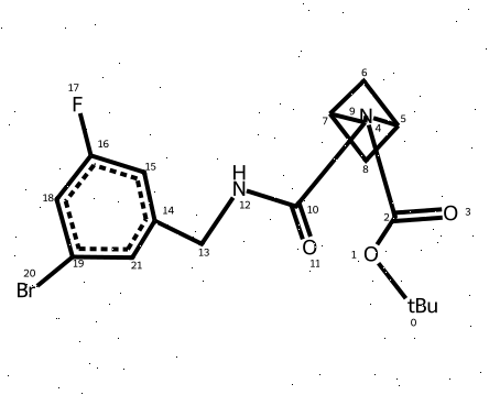 CC(C)(C)OC(=O)N1C2CC(C2)C1C(=O)NCc1cc(F)cc(Br)c1